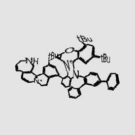 CC(C)(C)c1cc(-c2cccc3c2[n+]2c(n3-c3ccc(-c4cc#ccc4)cc3-c3ccccc3)-c3cc(C(C)(C)C)cc(C(C)(C)C)c3OC3C=C32)c2c(c1)-c1c3c(cc[n+]1CC2)C=CCNC3